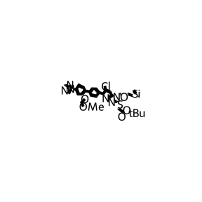 COCOc1cc(-n2cncn2)ccc1-c1ccc(-c2nc3nc(SCC(=O)OC(C)(C)C)n(COCC[Si](C)(C)C)c3cc2Cl)cc1